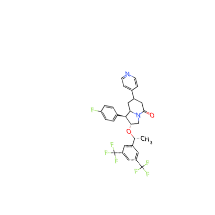 C[C@@H](O[C@H]1CN2C(=O)CC(c3ccncc3)CC2[C@@H]1c1ccc(F)cc1)c1cc(C(F)(F)F)cc(C(F)(F)F)c1